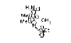 CCn1c(=O)n(CCCN2CC[C@@H](NC(=O)c3cc(Cl)c(N)cc3OC)[C@@H](OC)C2)c2ccccc21.O